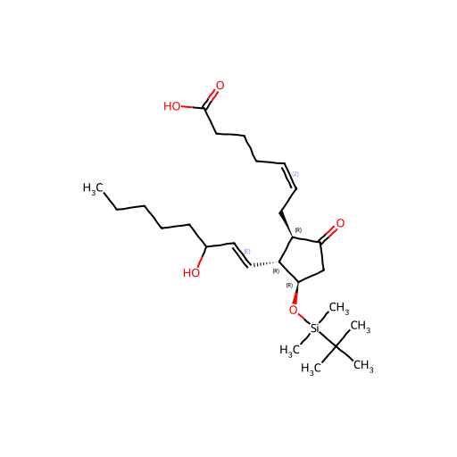 CCCCCC(O)/C=C/[C@H]1[C@H](O[Si](C)(C)C(C)(C)C)CC(=O)[C@@H]1C/C=C\CCCC(=O)O